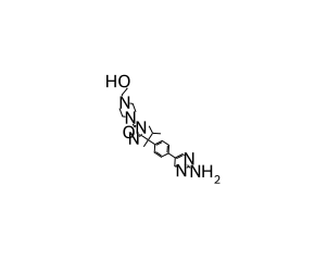 CC(C)C(C)(c1ccc(-c2cnc(N)nc2)cc1)c1noc(N2CCN(CCO)CC2)n1